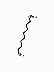 CCCCCCCCCCCC[CH]N